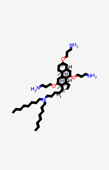 CCCCCCCCN(CCCCCCCC)CCC[C@@H](C)[C@H]1CC[C@H]2[C@@H]3[C@H](OCCCN)C[C@@H]4C[C@H](OCCCN)CC[C@]4(C)[C@H]3C[C@H](OCCCN)[C@]12C